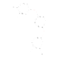 Cc1ccc(Oc2ccc(Oc3ccc(C)c(C(C)C)c3)cc2)cc1C